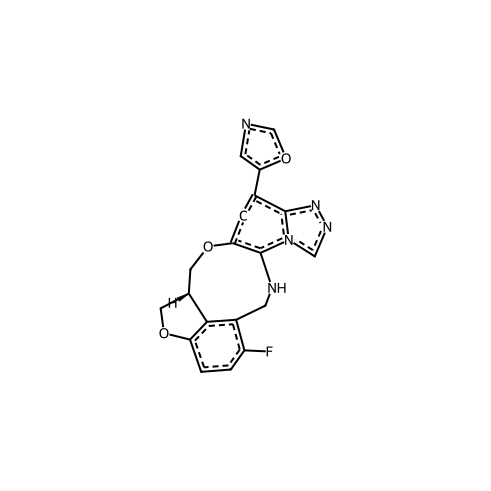 Fc1ccc2c3c1CNc1c(cc(-c4cnco4)c4nncn14)OC[C@H]3CO2